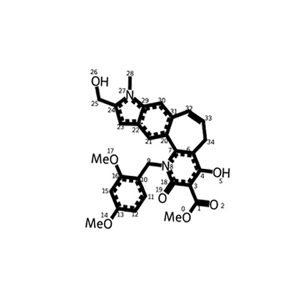 COC(=O)c1c(O)c2c(n(Cc3ccc(OC)cc3OC)c1=O)-c1cc3cc(CO)n(C)c3cc1C=CC2